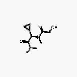 CC(C)C(=O)C(C1CC1)N(C)C(=O)CO